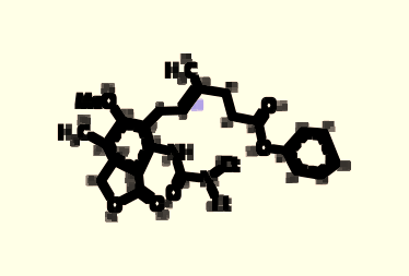 CCN(CC)C(=O)Nc1c(C/C=C(\C)CCC(=O)Oc2ccccc2)c(OC)c(C)c2c1C(=O)OC2